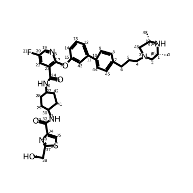 C[C@@H]1CN(CCCc2ccc(-c3cccc(Oc4ncc(F)cc4C(=O)NC4CCC(NC(=O)c5csc(CO)n5)CC4)c3)cc2)C[C@H](C)N1